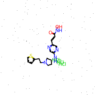 Cl.Cl.Cl.Cl.O=C(C=Cc1cnc(N[C@@H]2CCN(CCc3cccs3)C2)cn1)NO